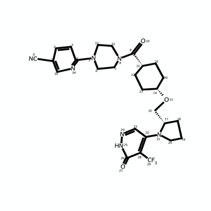 N#Cc1ccc(N2CCN(C(=O)[C@H]3CC[C@@H](OC[C@@H]4CCCN4c4cn[nH]c(=O)c4C(F)(F)F)CC3)CC2)nc1